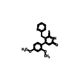 COc1ccc(-c2cc(=O)[nH]c(=S)n2Cc2ccccn2)c(OC)c1